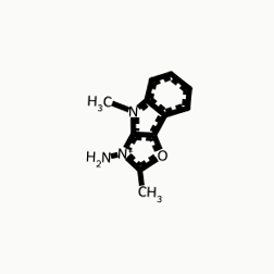 Cc1oc2c3ccccc3n(C)c2[n+]1N